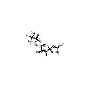 [2H]C([2H])OC(C)(C)/C(C)=C(/C)C(C)(C)OC([2H])([2H])C([2H])([2H])[2H]